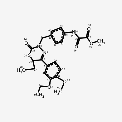 CCOc1cc(C2=NN(Cc3ccc(NC(=O)C(=O)OC)cc3)C(=O)SC2CC)ccc1OC